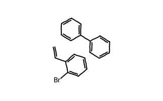 C=Cc1ccccc1Br.c1ccc(-c2ccccc2)cc1